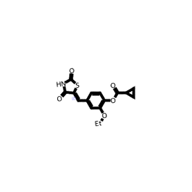 CCOc1cc(/C=C2\SC(=O)NC2=O)ccc1OC(=O)C1CC1